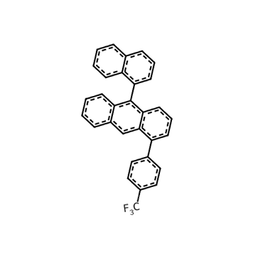 FC(F)(F)c1ccc(-c2cccc3c(-c4cccc5ccccc45)c4ccccc4cc23)cc1